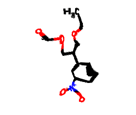 CCOCC(CO[C]=O)c1cccc([N+](=O)[O-])c1